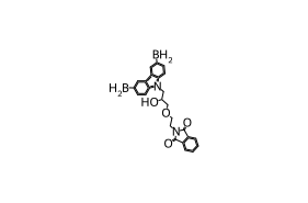 Bc1ccc2c(c1)c1cc(B)ccc1n2CC(O)COCCN1C(=O)c2ccccc2C1=O